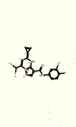 O=C(Nc1ccc(F)c(F)c1)c1cnn2c1NC(=C1C=C1)C=C2C(F)F